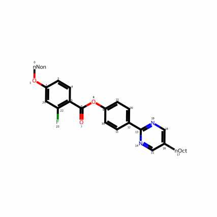 CCCCCCCCCOc1ccc(C(=O)Oc2ccc(-c3ncc(CCCCCCCC)cn3)cc2)c(F)c1